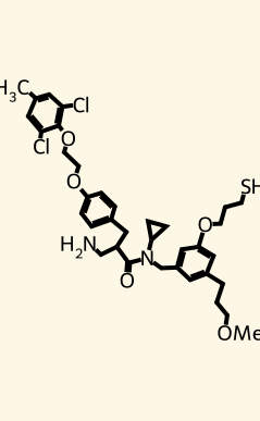 COCCCc1cc(CN(C(=O)C(CN)Cc2ccc(OCCOc3c(Cl)cc(C)cc3Cl)cc2)C2CC2)cc(OCCCS)c1